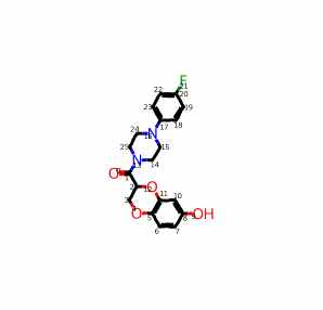 O=C(C1COc2ccc(O)cc2O1)N1CCN(c2ccc(F)cc2)CC1